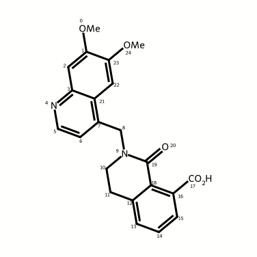 COc1cc2nccc(CN3CCc4cccc(C(=O)O)c4C3=O)c2cc1OC